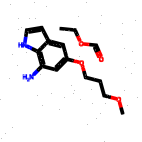 CCOC=O.COCCCOc1cc(N)c2[nH]ccc2c1